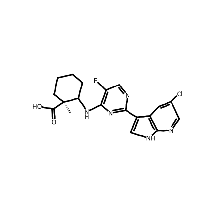 C[C@]1(C(=O)O)CCCCC1Nc1nc(-c2c[nH]c3ncc(Cl)cc23)ncc1F